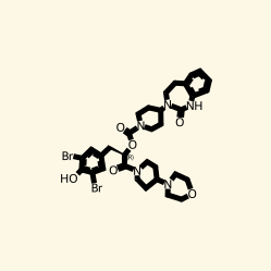 O=C(O[C@H](Cc1cc(Br)c(O)c(Br)c1)C(=O)N1CCC(N2CCOCC2)CC1)N1CCC(N2CCc3ccccc3NC2=O)CC1